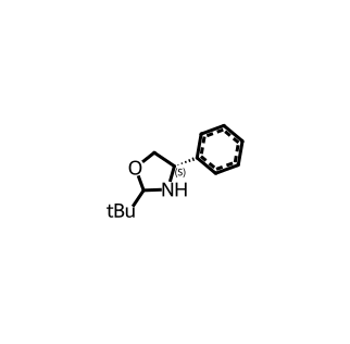 CC(C)(C)C1N[C@@H](c2ccccc2)CO1